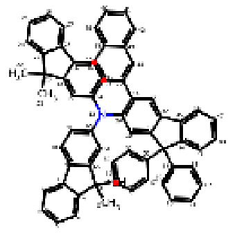 CC1(C)c2ccccc2-c2ccc(N(c3ccc4c(c3)C(C)(C)c3ccccc3-4)c3cc4c(cc3-c3ccc5ccccc5c3)-c3ccccc3C4(c3ccccc3)c3ccccc3)cc21